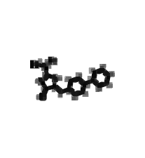 CCN(CC)C1=NC(=O)C(=Cc2ccc(-c3ccccc3)cc2)S1